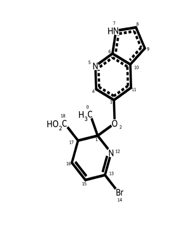 CC1(Oc2cnc3[nH]ccc3c2)N=C(Br)C=CC1C(=O)O